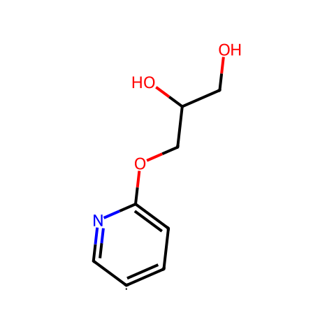 OCC(O)COc1cc[c]cn1